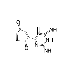 N=c1nc(C2=CC(=O)C=CC2=O)[nH]c(=N)[nH]1